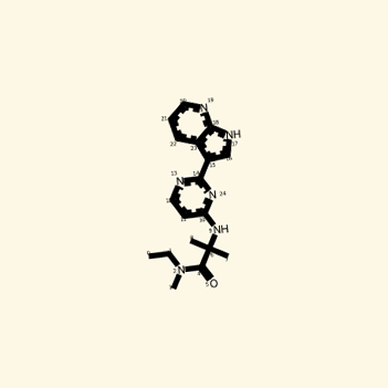 CCN(C)C(=O)C(C)(C)Nc1ccnc(-c2c[nH]c3ncccc23)n1